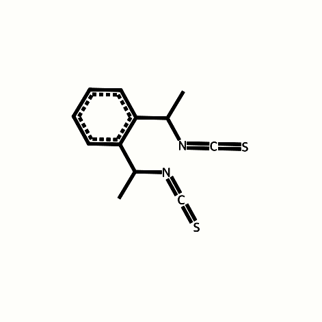 CC(N=C=S)c1ccccc1C(C)N=C=S